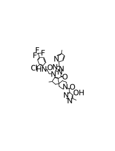 Cc1ccc(-c2nc3n(CC(=O)Nc4ccc(C(F)(F)F)cc4Cl)c4c(c(=O)n3n2)C2(CCN(C(=O)c3ncnc(C)c3O)CC2)CC4C)nc1